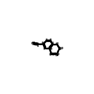 N#Cc1ccc2c(c1)C=NSC2